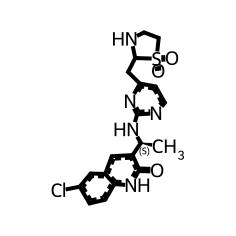 C[C@H](Nc1nccc(CC2NCCS2(=O)=O)n1)c1cc2cc(Cl)ccc2[nH]c1=O